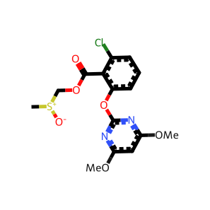 COc1cc(OC)nc(Oc2cccc(Cl)c2C(=O)OC[S+](C)[O-])n1